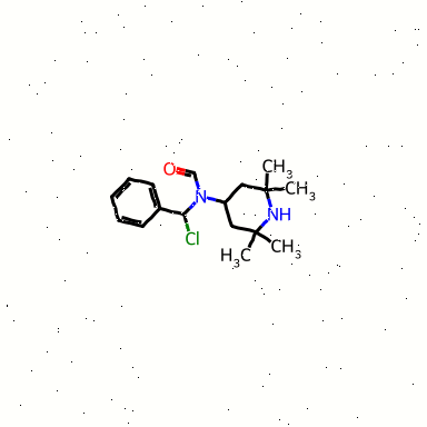 CC1(C)CC(N(C=O)C(Cl)c2ccccc2)CC(C)(C)N1